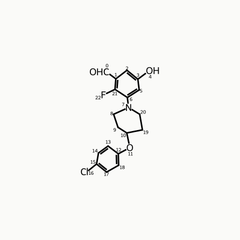 O=Cc1cc(O)cc(N2CCC(Oc3ccc(Cl)cc3)CC2)c1F